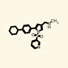 CNCc1cc(-c2ccc(C3CCCCC3)cc2)n(S(=O)(=O)c2cccnc2)c1